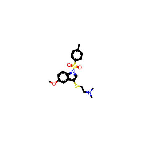 COc1ccc2c(c1)c(SCCN(C)C)cn2S(=O)(=O)c1ccc(C)cc1